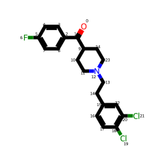 O=C(c1ccc(F)cc1)C1CCN(CCc2ccc(Cl)c(Cl)c2)CC1